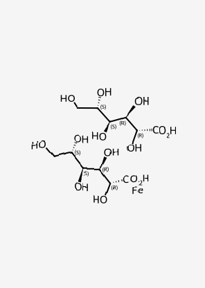 O=C(O)[C@H](O)[C@H](O)[C@@H](O)[C@@H](O)CO.O=C(O)[C@H](O)[C@H](O)[C@@H](O)[C@@H](O)CO.[Fe]